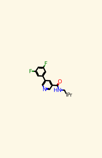 CC(C)CNC(=O)c1cncc(-c2cc(F)cc(F)c2)c1